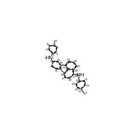 Cc1ccc(Nc2ccc3c(c2)-c2cccc4c(Nc5ccc(C)cc5)ccc-3c24)cc1